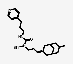 CCCN(CCC=C1CC2CC(C)CC(C1)C2)C(=O)NCCCc1ccncc1